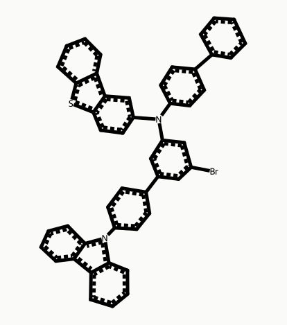 Brc1cc(-c2ccc(-n3c4ccccc4c4ccccc43)cc2)cc(N(c2ccc(-c3ccccc3)cc2)c2ccc3sc4ccccc4c3c2)c1